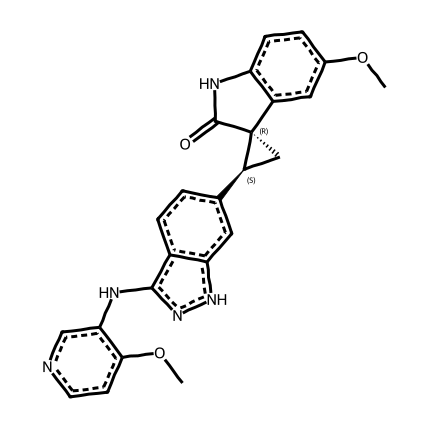 COc1ccc2c(c1)[C@]1(C[C@H]1c1ccc3c(Nc4cnccc4OC)n[nH]c3c1)C(=O)N2